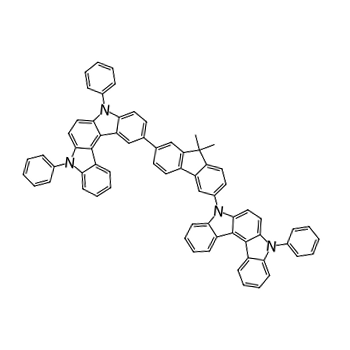 CC1(C)c2ccc(-n3c4ccccc4c4c5c6ccccc6n(-c6ccccc6)c5ccc43)cc2-c2ccc(-c3ccc4c(c3)c3c5c6ccccc6n(-c6ccccc6)c5ccc3n4-c3ccccc3)cc21